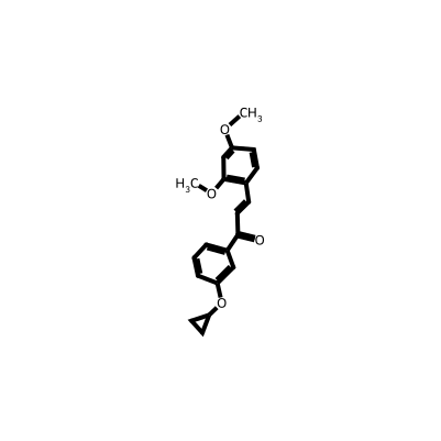 COc1ccc(C=CC(=O)c2cccc(OC3CC3)c2)c(OC)c1